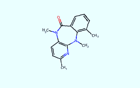 Cc1ccc2c(n1)N(C)c1c(C)cccc1C(=O)N2C